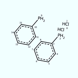 Cl.Cl.Pc1ccccc1.Pc1ccccc1